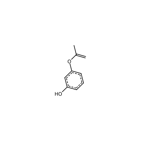 C=C(C)Oc1cccc(O)c1